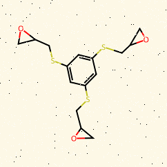 c1c(SCC2CO2)cc(SCC2CO2)cc1SCC1CO1